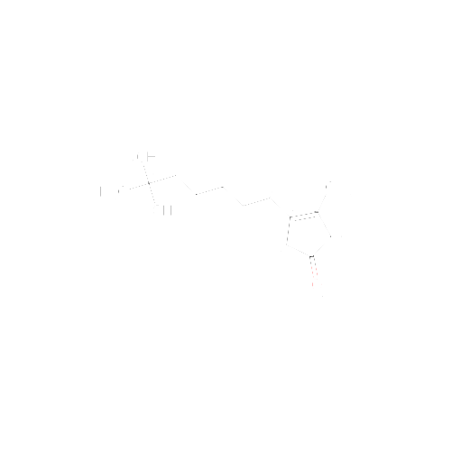 CC1=C(CCCCCC(C)(C)C)CC(=O)C1